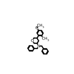 COc1ccc(C)c(C2COCC(N(Cc3ccccc3)Cc3ccccc3)C2)c1